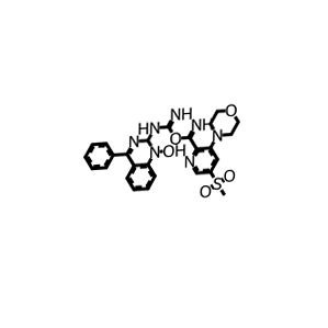 CS(=O)(=O)c1cnc(C(=N)OC(=N)NC2N=C(c3ccccc3)c3ccccc3N2O)c(N2CCOCC2)c1